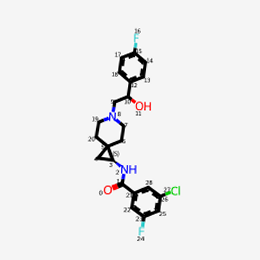 O=C(N[C@H]1CC12CCN(CC(O)c1ccc(F)cc1)CC2)c1cc(F)cc(Cl)c1